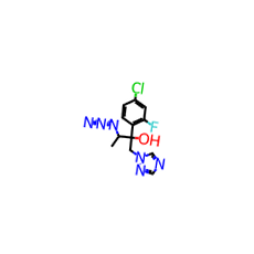 CC(N=[N+]=[N-])C(O)(Cn1cncn1)c1ccc(Cl)cc1F